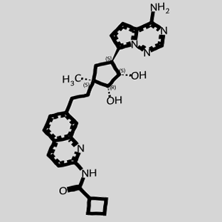 C[C@]1(CCc2ccc3ccc(NC(=O)C4CCC4)nc3c2)C[C@@H](c2ccc3c(N)ncnn23)[C@H](O)[C@@H]1O